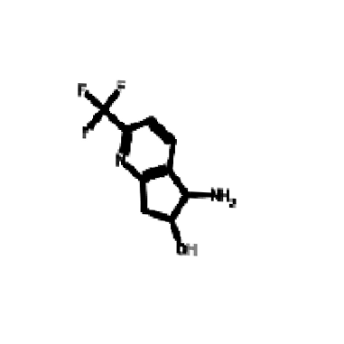 NC1c2ccc(C(F)(F)F)nc2CC1O